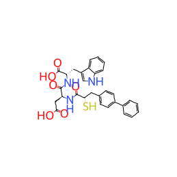 O=C(O)C[C@H](NC(=O)[C@@H](S)Cc1ccc(-c2ccccc2)cc1)C(=O)N[C@@H](Cc1c[nH]c2ccccc12)C(=O)O